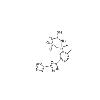 CN1C(=N)N[C@](C)(c2cc(-c3nnc(-c4cncs4)o3)ccc2F)CS1(=O)=O